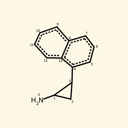 NC1CC1c1cccc2ccccc12